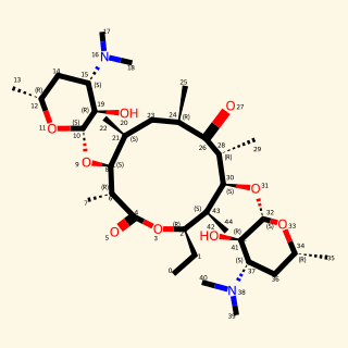 CC[C@H]1OC(=O)[C@H](C)[C@@H](O[C@@H]2O[C@H](C)C[C@H](N(C)C)[C@H]2O)[C@@H](C)C[C@@H](C)C(=O)[C@H](C)[C@@H](O[C@@H]2O[C@H](C)C[C@H](N(C)C)[C@H]2O)[C@H]1C